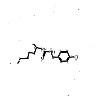 CCCCCC(C)NC(=O)NCc1ccc(Cl)cc1